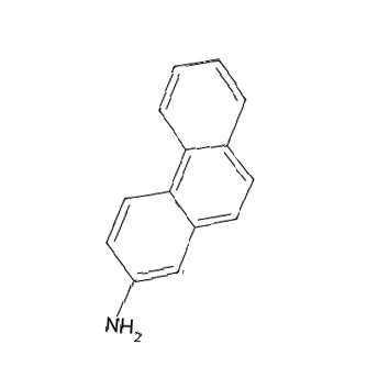 Nc1[c]c2ccc3ccccc3c2cc1